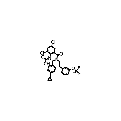 CC(=O)Nc1c(Cl)cc(Cl)cc1C(=O)N(CCc1cccc(OC(F)(F)F)c1)Cc1ccc(C2CC2)cc1